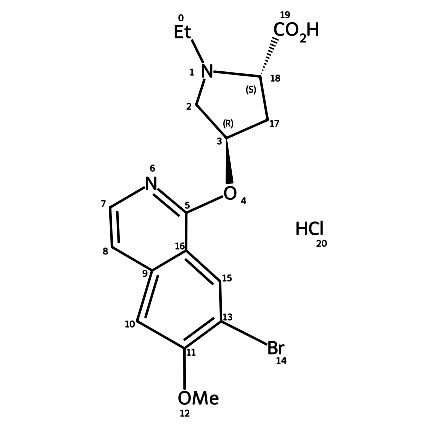 CCN1C[C@H](Oc2nccc3cc(OC)c(Br)cc23)C[C@H]1C(=O)O.Cl